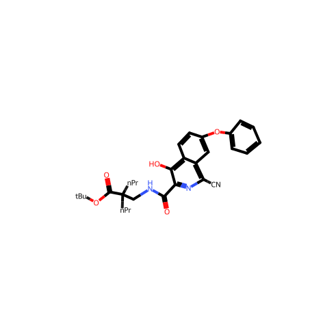 CCCC(CCC)(CNC(=O)c1nc(C#N)c2cc(Oc3ccccc3)ccc2c1O)C(=O)OC(C)(C)C